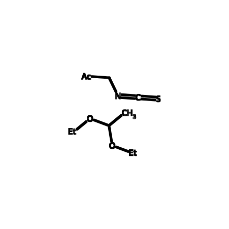 CC(=O)CN=C=S.CCOC(C)OCC